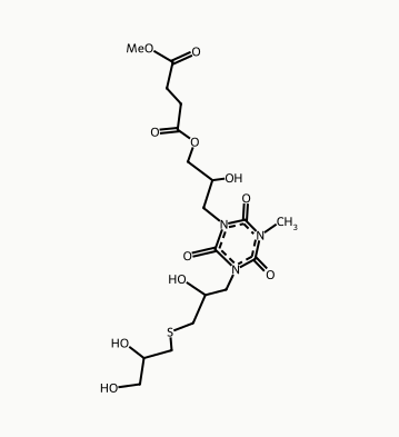 COC(=O)CCC(=O)OCC(O)Cn1c(=O)n(C)c(=O)n(CC(O)CSCC(O)CO)c1=O